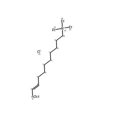 CCCCCCCC/C=C/CCCCCCCC[N+](CC)(CC)CC.[Cl-]